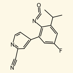 CC(C)c1cc(F)cc(-c2ccnc(C#N)c2)c1N=C=O